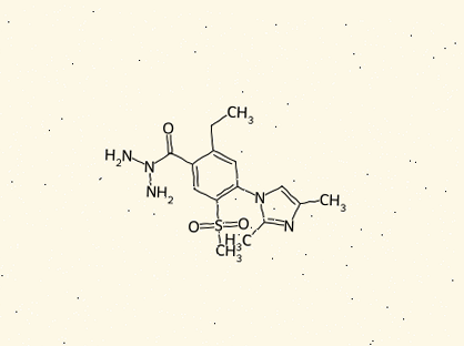 CCc1cc(-n2cc(C)nc2C)c(S(C)(=O)=O)cc1C(=O)N(N)N